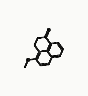 COc1ccc2cccc3c2c1CCC3=O